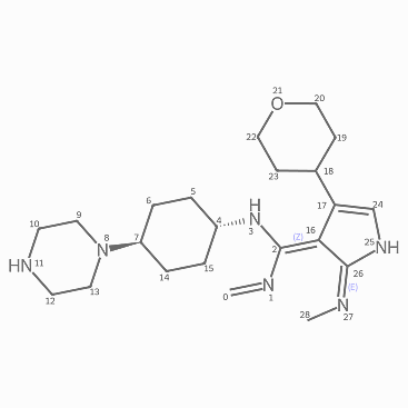 C=N/C(N[C@H]1CC[C@H](N2CCNCC2)CC1)=C1/C(C2CCOCC2)=CN/C1=N/C